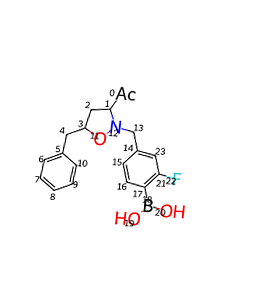 CC(=O)C1CC(Cc2ccccc2)ON1Cc1ccc(B(O)O)c(F)c1